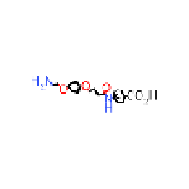 NCCOC1CCC(OCCCC(=O)NC2CCC(C(=O)O)CC2)CC1